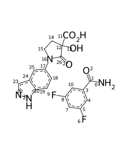 NC(=O)c1cc(F)cc(F)c1.O=C(O)C1(O)CCN(c2ccc3[nH]ncc3c2)C1=O